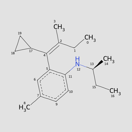 CC/C(C)=C(\c1cc(C)ccc1N[C@@H](C)CC)C1CC1